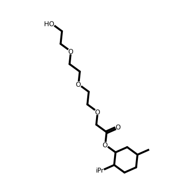 CC1CCC(C(C)C)C(OC(=O)COCCOCCOCCO)C1